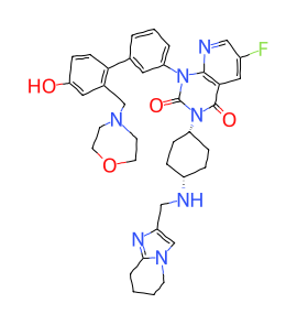 O=c1c2cc(F)cnc2n(-c2cccc(-c3ccc(O)cc3CN3CCOCC3)c2)c(=O)n1[C@H]1CC[C@@H](NCc2cn3c(n2)CCCC3)CC1